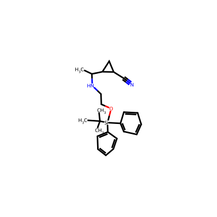 CC(NCCO[Si](c1ccccc1)(c1ccccc1)C(C)(C)C)C1CC1C#N